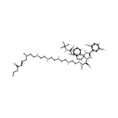 CCOC(=O)/C=C/CN(C)CCOCCOCCOCCOCCON(C)C(=O)N1N=C(c2cc(F)ccc2F)SC1(CCCNC(=O)OC(C)(C)C)c1ccccc1